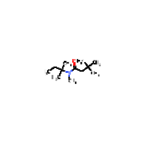 CCC(C)(C)N(C)C(=O)CC(C)(C)C